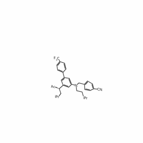 CC(=O)[C@H](CC(C)C)c1cc(-c2ccc(C(F)(F)F)cc2)cc(N(CCC(C)C)Cc2ccc(C#N)cc2)c1